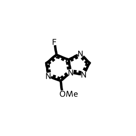 COc1ncc(F)c2ncnn12